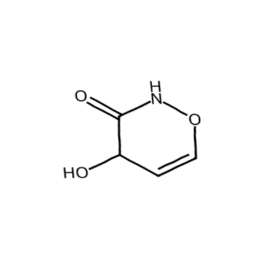 O=C1NOC=CC1O